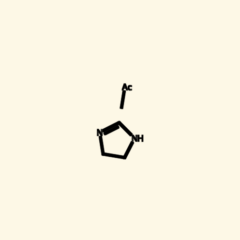 C1=NCCN1.CC(C)=O